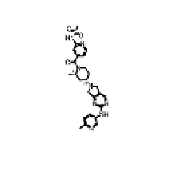 Cc1ccc(Nc2ncc3c(n2)CN([C@H]2CCN(C(=O)c4ccnc(NS(C)(=O)=O)c4)[C@H](C)C2)C3)cn1